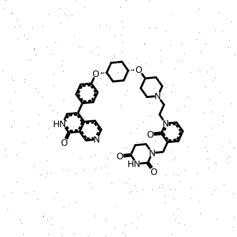 O=C1CCN(Cc2cccn(CCN3CCC(O[C@H]4CC[C@@H](Oc5ccc(-c6c[nH]c(=O)c7cnccc67)cc5)CC4)CC3)c2=O)C(=O)N1